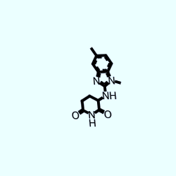 Cc1ccc2c(c1)nc(NC1CCC(=O)NC1=O)n2C